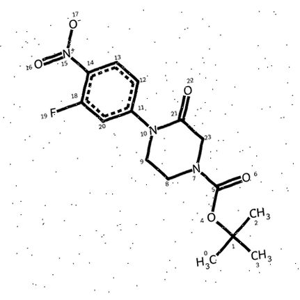 CC(C)(C)OC(=O)N1CCN(c2ccc([N+](=O)[O-])c(F)c2)C(=O)C1